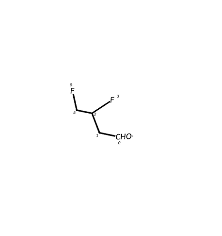 O=[C]CC(F)CF